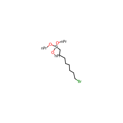 CCCO[Si](CCCCCCCCBr)(OCCC)OCCC